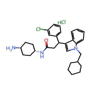 Cl.N[C@H]1CC[C@H](NC(=O)CC(c2cccc(Cl)c2)c2cn(CC3CCCCC3)c3ccccc23)CC1